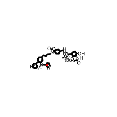 CC(C)(C)[Si](C)(C)O[C@@H](CNCc1ccc2c(c1)oc(=O)n2CCC=Cc1ccc(-c2ccccc2)c(N(C(=O)O)C2CN3CCC2CC3)c1)c1ccc(O)c2c1OCC(=O)N2